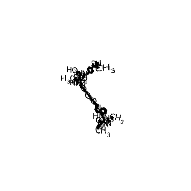 CCOC(=O)c1nnc(SC)nc1Nc1cccc2c1ccn2CCOCCOCCOCC(=O)NC(C(=O)N1C[C@H](O)C[C@H]1C(=O)NCc1ccc(-c2scnc2C)cc1)C(C)(C)C